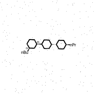 CCCC[C@H]1CCC[C@@H](C2CCC([C@H]3CC[C@H](CCC)CC3)CC2)C1